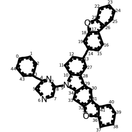 c1ccc(-c2cncc(-n3c4ccc(-c5ccc6c(c5)oc5ccccc56)cc4c4cc5c(cc43)oc3ccccc35)n2)cc1